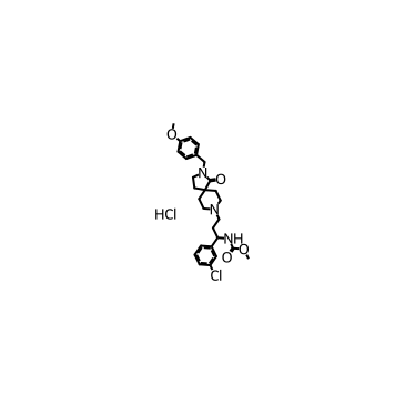 COC(=O)NC(CCN1CCC2(CC1)CCN(Cc1ccc(OC)cc1)C2=O)c1cccc(Cl)c1.Cl